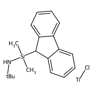 CC(C)(C)N[Si](C)(C)C1c2ccccc2-c2ccccc21.[Cl][Ti]